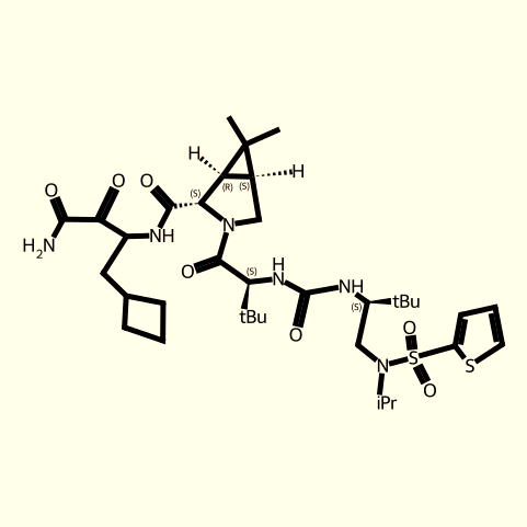 CC(C)N(C[C@@H](NC(=O)N[C@H](C(=O)N1C[C@H]2[C@@H]([C@H]1C(=O)NC(CC1CCC1)C(=O)C(N)=O)C2(C)C)C(C)(C)C)C(C)(C)C)S(=O)(=O)c1cccs1